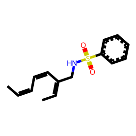 C\C=C/C=C\C(=C/C)CNS(=O)(=O)c1ccccc1